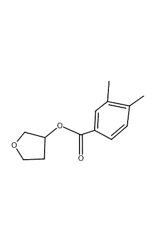 Cc1ccc(C(=O)OC2CCOC2)cc1C